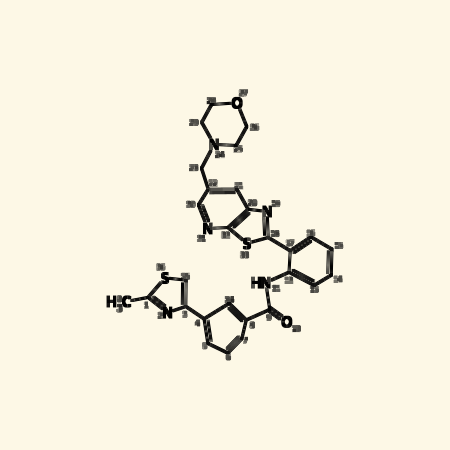 Cc1nc(-c2cccc(C(=O)Nc3ccccc3-c3nc4cc(CN5CCOCC5)cnc4s3)c2)cs1